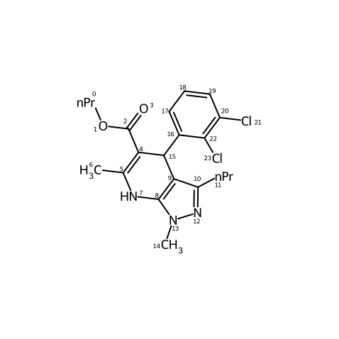 CCCOC(=O)C1=C(C)Nc2c(c(CCC)nn2C)C1c1cccc(Cl)c1Cl